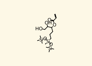 C=CC(=O)OC(CCC[Si](C)(O[Si](C)(C)C)O[Si](C)(C)C)C(O)CO